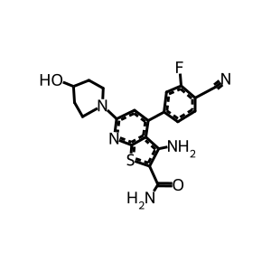 N#Cc1ccc(-c2cc(N3CCC(O)CC3)nc3sc(C(N)=O)c(N)c23)cc1F